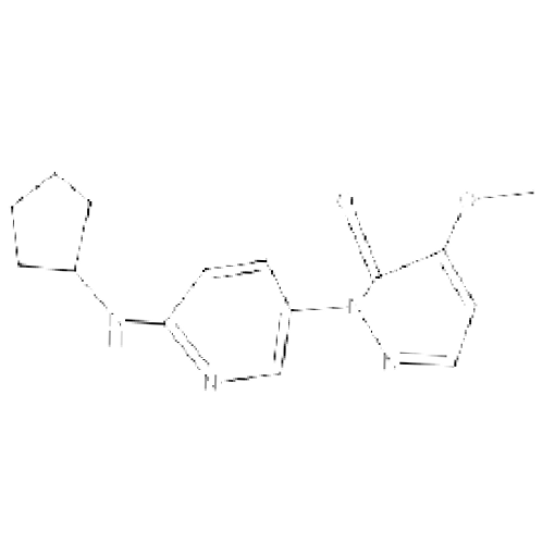 COc1ccnn(-c2ccc(NC3CCCC3)nc2)c1=O